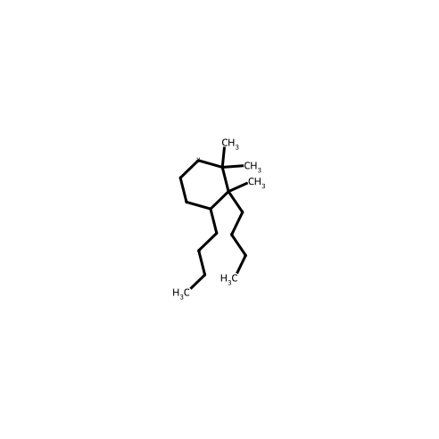 CCCCC1CC[C]C(C)(C)C1(C)CCCC